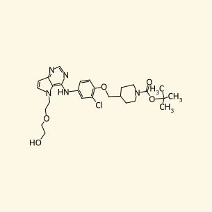 CC(C)(C)OC(=O)N1CCC(COc2ccc(Nc3ncnc4ccn(CCOCCO)c34)cc2Cl)CC1